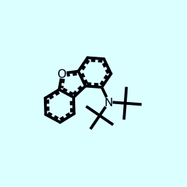 CC(C)(C)N(c1cccc2oc3ccccc3c12)C(C)(C)C